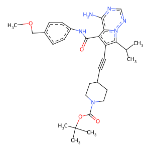 COCc1ccc(NC(=O)c2c(C#CC3CCN(C(=O)OC(C)(C)C)CC3)c(C(C)C)n3ncnc(N)c23)cc1